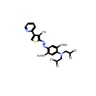 CCC(CC)CN(CC(CC)CC)c1cc(NC(C)=O)c(/N=N/c2scc(-c3ccccn3)c2C#N)cc1OC